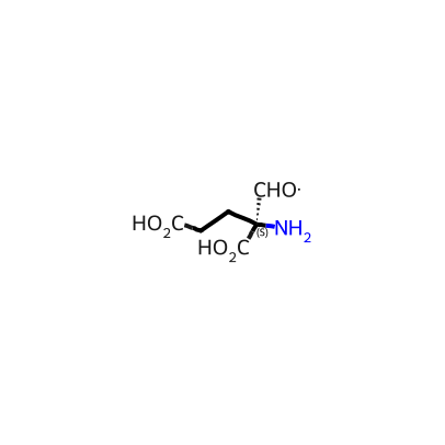 N[C@]([C]=O)(CCC(=O)O)C(=O)O